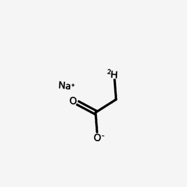 [2H]CC(=O)[O-].[Na+]